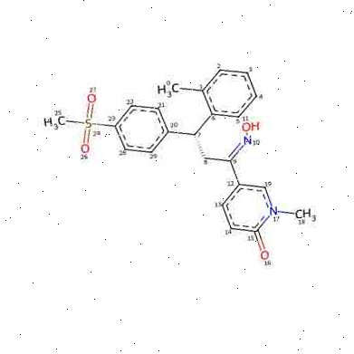 Cc1ccccc1[C@H](C/C(=N\O)c1ccc(=O)n(C)c1)c1ccc(S(C)(=O)=O)cc1